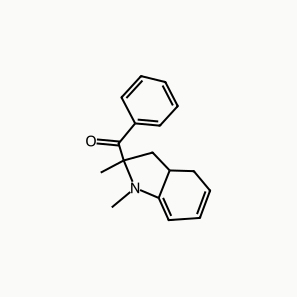 CN1C2=CC=CCC2CC1(C)C(=O)c1ccccc1